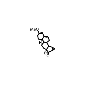 CCC12CCC3C(CC=C4C=C(OC)CC[C@@H]43)C1C1CC1C2=O